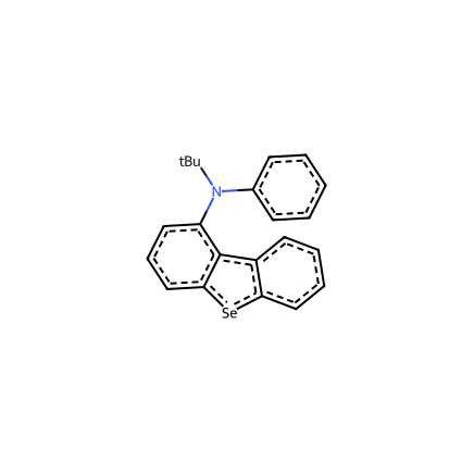 CC(C)(C)N(c1ccccc1)c1cccc2[se]c3ccccc3c12